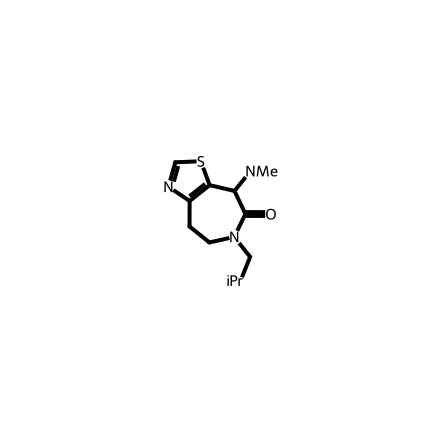 CNC1C(=O)N(CC(C)C)CCc2ncsc21